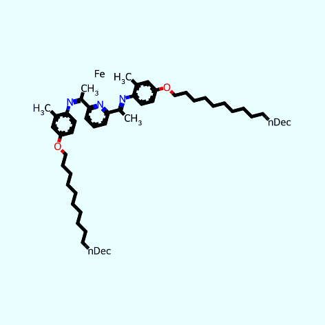 CCCCCCCCCCCCCCCCCCCCOc1ccc(N=C(C)c2cccc(C(C)=Nc3ccc(OCCCCCCCCCCCCCCCCCCCC)cc3C)n2)c(C)c1.[Fe]